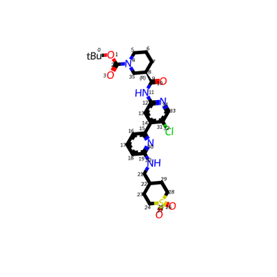 CC(C)(C)OC(=O)N1CCC[C@@H](C(=O)Nc2cc(-c3cccc(NCC4CCS(=O)(=O)CC4)n3)c(Cl)cn2)C1